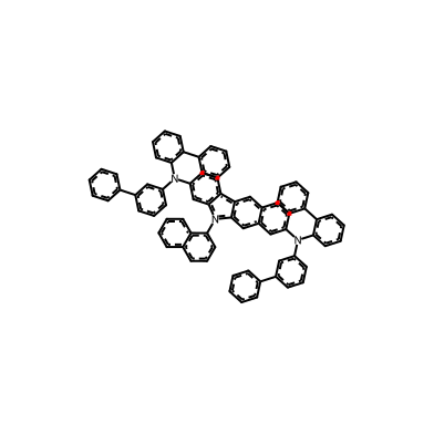 c1ccc(-c2cccc(N(c3ccc4cc5c6ccc(N(c7cccc(-c8ccccc8)c7)c7ccccc7-c7ccccc7)cc6n(-c6cccc7ccccc67)c5cc4c3)c3ccccc3-c3ccccc3)c2)cc1